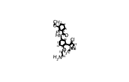 COc1cccc(C(=O)Nc2ccc(OCCN)c(-c3c(Cl)cnn3C)c2)c1F